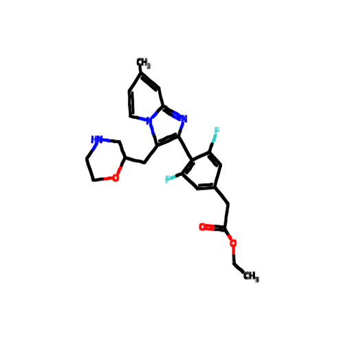 CCOC(=O)Cc1cc(F)c(-c2nc3cc(C)ccn3c2CC2CNCCO2)c(F)c1